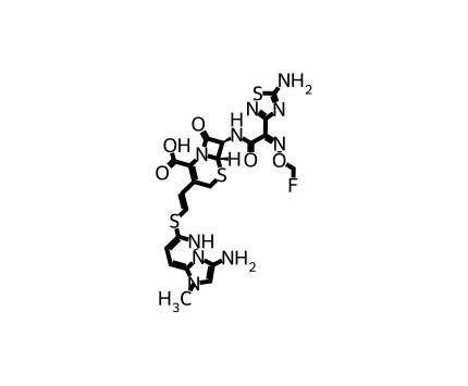 CN1C=C(N)N2NC(S/C=C/C3=C(C(=O)O)N4C(=O)[C@@H](NC(=O)/C(=N\OCF)c5nsc(N)n5)[C@@H]4SC3)=CC=C12